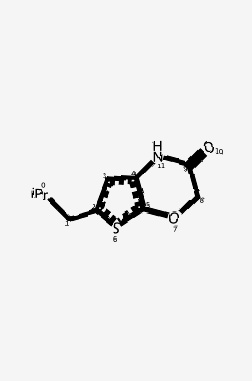 CC(C)Cc1cc2c(s1)OCC(=O)N2